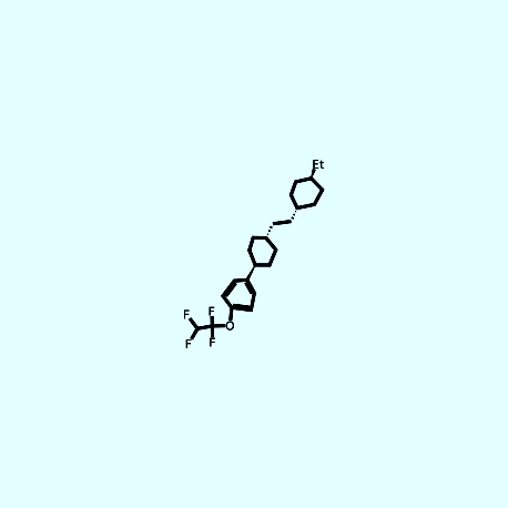 CC[C@H]1CC[C@H](CC[C@H]2CC[C@H](c3ccc(OC(F)(F)C(F)F)cc3)CC2)CC1